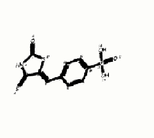 O=C1NC(=S)C(=Cc2ccc(P(=O)(O)O)cc2)S1